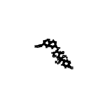 C#Cc1cnc2ccc(OC(SC)C(=O)NC(C)(C)c3ccc(Cl)nc3)cc2c1